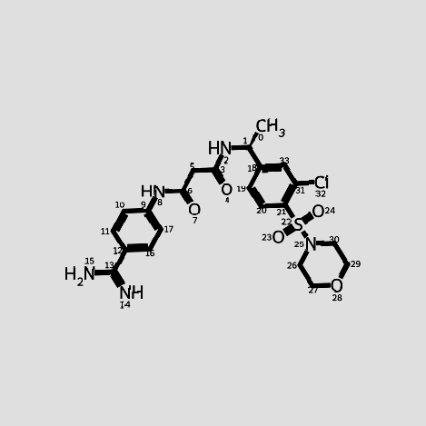 C[C@H](NC(=O)CC(=O)Nc1ccc(C(=N)N)cc1)c1ccc(S(=O)(=O)N2CCOCC2)c(Cl)c1